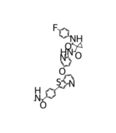 CNC(=O)c1ccc(-c2cc3nccc(Oc4ccc(NC(=O)C5(C(=O)Nc6ccc(F)cc6)CC5)nc4)c3s2)cc1